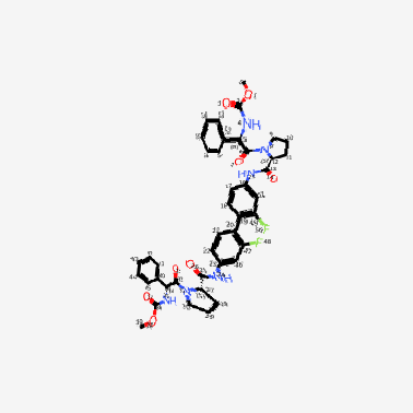 COC(=O)N[C@@H](C(=O)N1CCC[C@H]1C(=O)Nc1ccc(-c2ccc(NC(=O)[C@@H]3CCCN3C(=O)[C@H](NC(=O)OC)c3ccccc3)cc2F)c(F)c1)c1ccccc1